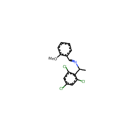 COc1ccccc1C=NC(C)c1c(Cl)cc(Cl)cc1Cl